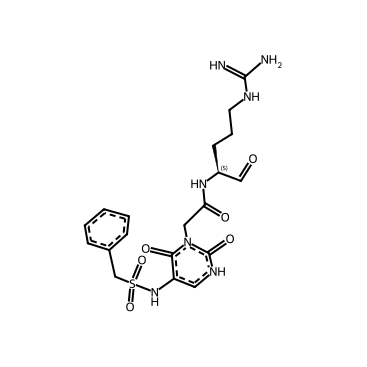 N=C(N)NCCC[C@@H](C=O)NC(=O)Cn1c(=O)[nH]cc(NS(=O)(=O)Cc2ccccc2)c1=O